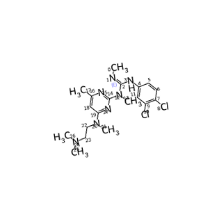 C/N=C(\Nc1ccc(Cl)c(Cl)c1)N(C)c1nc(C)cc(N(C)CCN(C)C)n1